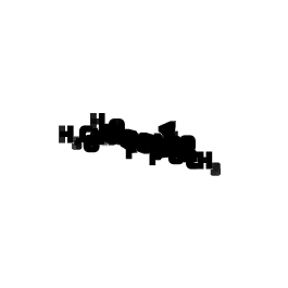 CCOC(=O)c1cn(C2CC2)c2nc(N3CCN(c4ccc(N5C[C@H](CNC(C)=O)OC5=O)cc4F)CC3)c(F)cc2c1=O